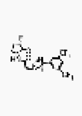 O=C(/C=C\n1cnc(-c2cc(C(F)(F)F)cc(C(F)(F)F)c2)n1)NN1CCC(F)C1=O